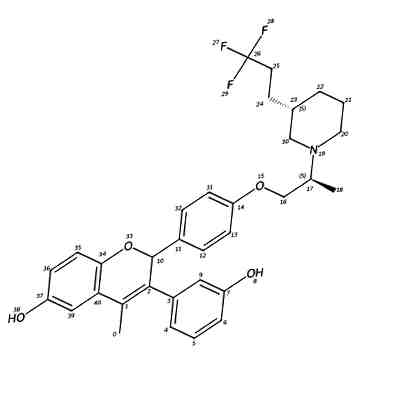 CC1=C(c2cccc(O)c2)C(c2ccc(OC[C@H](C)N3CCC[C@@H](CCC(F)(F)F)C3)cc2)Oc2ccc(O)cc21